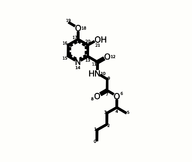 CCCCC(C)OC(=O)CNC(=O)c1nccc(OC)c1O